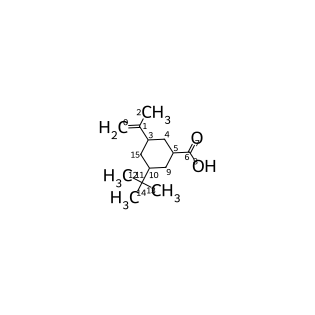 C=C(C)C1CC(C(=O)O)CC(C(C)(C)C)C1